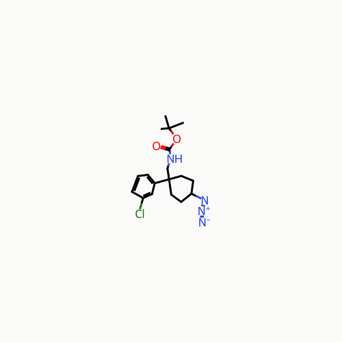 CC(C)(C)OC(=O)NCC1(c2cccc(Cl)c2)CCC(N=[N+]=[N-])CC1